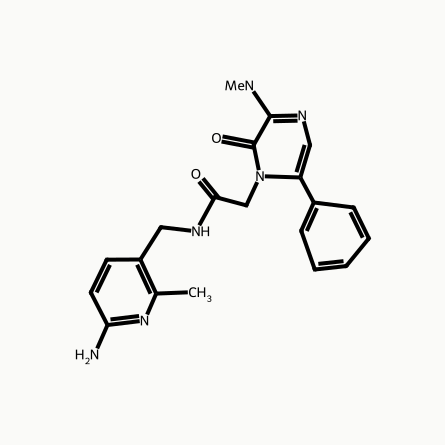 CNc1ncc(-c2ccccc2)n(CC(=O)NCc2ccc(N)nc2C)c1=O